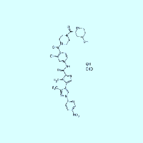 Cn1c(-c2cn(-c3ccc([N+](=O)[O-])cn3)nc2C(F)(F)F)cnc1C(=O)Nc1ccc(C(=O)N2CCN(C(=O)[C@@H]3CC(O)CCN3)CC2)c(Cl)c1.O=CO